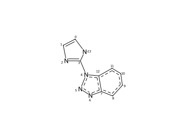 C1=CN=C(n2nnc3ccccc32)[N]1